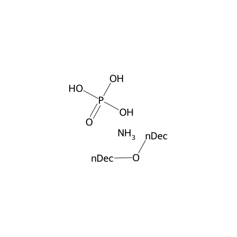 CCCCCCCCCCOCCCCCCCCCC.N.O=P(O)(O)O